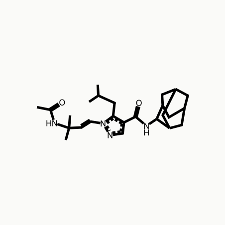 CC(=O)NC(C)(C)/C=C/n1ncc(C(=O)NC2C3CC4CC(C3)CC2C4)c1CC(C)C